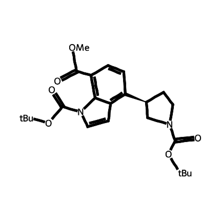 COC(=O)c1ccc([C@H]2CCN(C(=O)OC(C)(C)C)C2)c2ccn(C(=O)OC(C)(C)C)c12